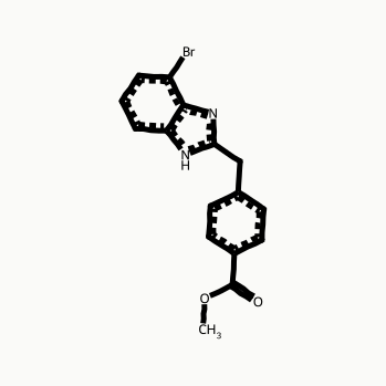 COC(=O)c1ccc(Cc2nc3c(Br)cccc3[nH]2)cc1